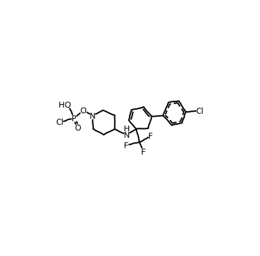 O=P(O)(Cl)ON1CCC(NC2(C(F)(F)F)C=CC=C(c3ccc(Cl)cc3)C2)CC1